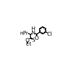 CCCC(NC(=O)c1cccc(Cl)c1)C(=S)OCC